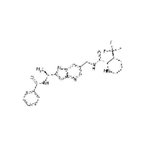 C[C@H](NC(=O)c1ccccc1)c1cn2ncc(CNC(=O)[C@H]3NCCC[C@@H]3C(F)(F)F)cc2n1